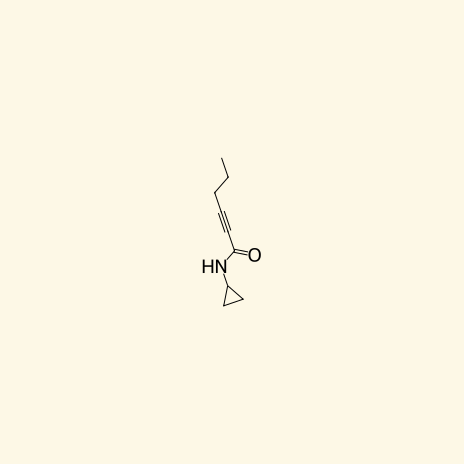 CCCC#CC(=O)NC1CC1